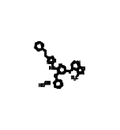 Cc1noc2nccc(Sc3cnc(Nc4nc(CCc5ccccc5)cs4)c(Oc4ccccc4)c3)c12.Cl.Cl